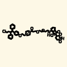 O=C1CCC(N2C(=O)c3cccc(NCCOCCOCCC(=O)N4CCN(CCOc5ccc(/C(=C(/CCCl)c6ccccc6)c6ccccc6)cc5)CC4)c3C2=O)C(=O)N1